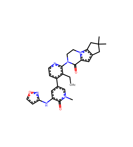 CC(=O)OCc1c(-c2cc(Nc3ccon3)c(=O)n(C)c2)ccnc1N1CCn2c(cc3c2CC(C)(C)C3)C1=O